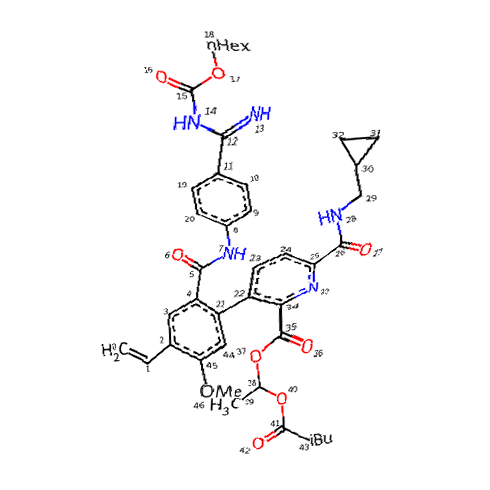 C=Cc1cc(C(=O)Nc2ccc(C(=N)NC(=O)OCCCCCC)cc2)c(-c2ccc(C(=O)NCC3CC3)nc2C(=O)OC(C)OC(=O)C(C)CC)cc1OC